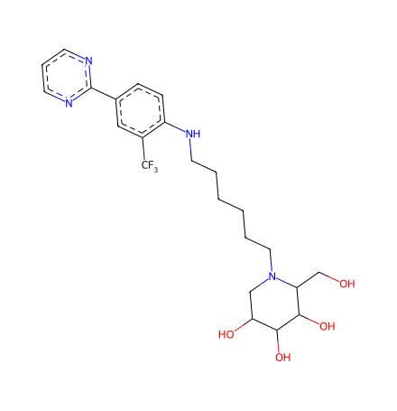 OCC1C(O)C(O)C(O)CN1CCCCCCNc1ccc(-c2ncccn2)cc1C(F)(F)F